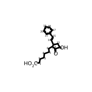 O=C(O)CCCCCCC1C(=O)C(O)CC1/C=C/c1ccccc1